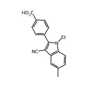 CCn1c(-c2ccc(C(=O)O)cc2)c(C#N)c2cc(C)ccc21